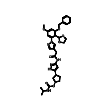 COc1cc(OCc2ccccc2)c(C2OCCO2)c(-n2cc(CC(=O)Nc3cc([C@H]4CC[C@@H](OC(=O)NC(C)C)C4)[nH]n3)cn2)c1